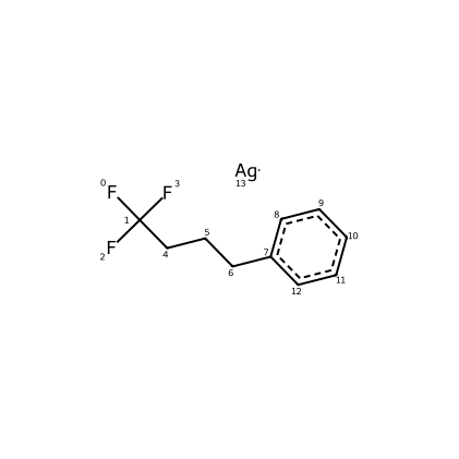 FC(F)(F)CCCc1ccccc1.[Ag]